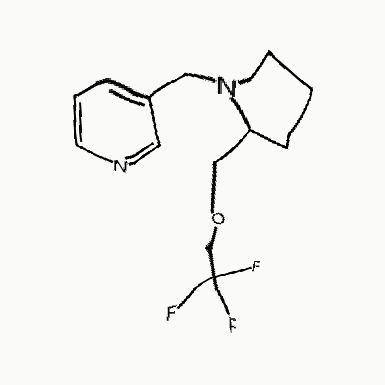 FC(F)(F)COCC1CCCN1Cc1cccnc1